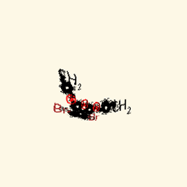 C=Cc1ccc(COc2ccc3c(c2)Oc2cc(OCc4ccc(C=C)cc4)ccc2C32c3cc(Br)ccc3-c3ccc(Br)cc32)cc1